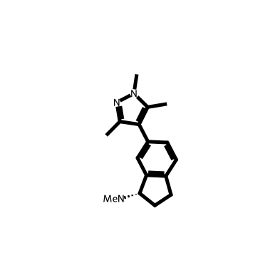 CN[C@H]1CCc2ccc(-c3c(C)nn(C)c3C)cc21